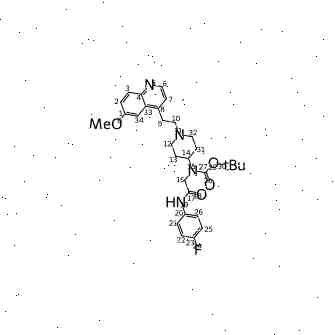 COc1ccc2nccc(CCN3CCC(N(CC(=O)Nc4ccc(F)cc4)C(=O)OC(C)(C)C)CC3)c2c1